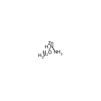 NN.O.P.[Zn]